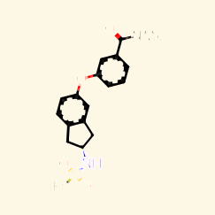 CNC(=O)c1cccc(Oc2ccc3c(c2)C[C@@H](NS(=O)(=O)C(C)C)C3)c1